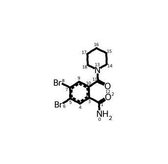 NC(=O)c1cc(Br)c(Br)cc1C(=O)N1CCCCC1